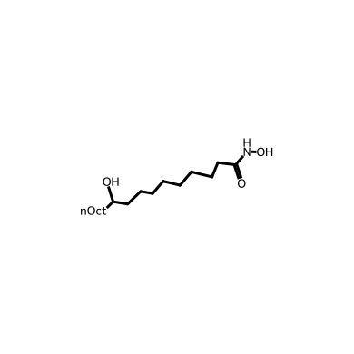 CCCCCCCCC(O)CCCCCCCCC(=O)NO